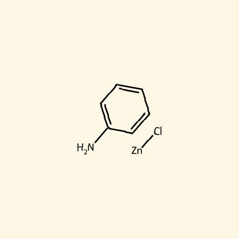 Nc1ccccc1.[Cl][Zn]